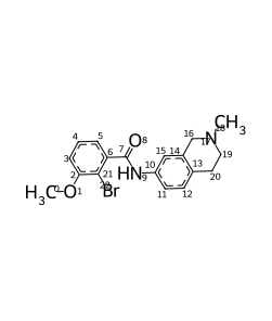 COc1cccc(C(=O)Nc2ccc3c(c2)CN(C)CC3)c1Br